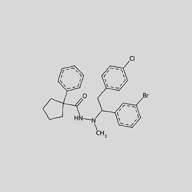 CN(NC(=O)C1(c2ccccc2)CCCC1)C(Cc1ccc(Cl)cc1)c1cccc(Br)c1